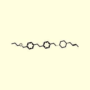 CC=CC[C@H]1CC[C@H](CCc2ccc(CCc3ccc(COCCC)cc3)cc2)CC1